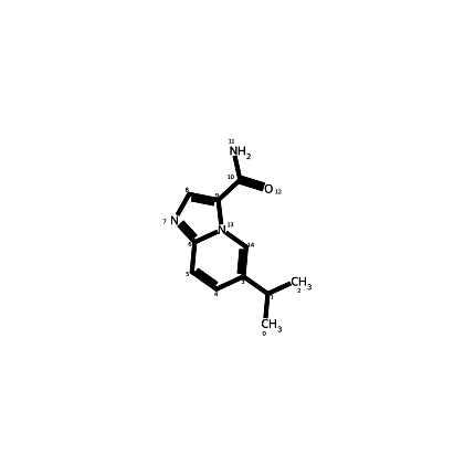 CC(C)c1ccc2ncc(C(N)=O)n2c1